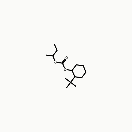 CCC(C)OC(=O)OC1CCCCC1C(C)(C)C